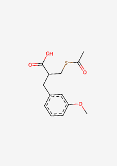 COc1cccc(CC(CSC(C)=O)C(=O)O)c1